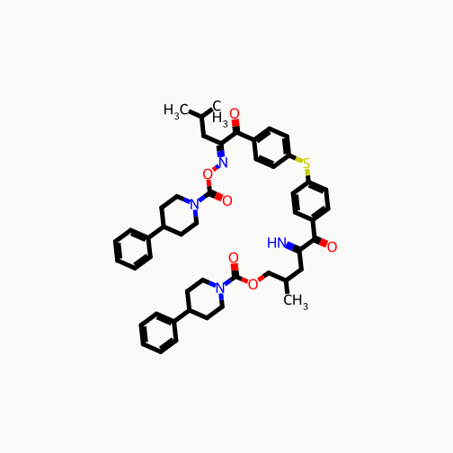 CC(C)C/C(=N\OC(=O)N1CCC(c2ccccc2)CC1)C(=O)c1ccc(Sc2ccc(C(=O)C(=N)CC(C)COC(=O)N3CCC(c4ccccc4)CC3)cc2)cc1